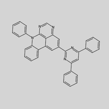 c1ccc(-c2cc(-c3ccccc3)nc(-c3cc4c5c(ncnc5c3)N(c3ccccc3)c3ccccc3-4)n2)cc1